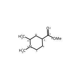 COC(=O)C1CCN(C)C(C)C1